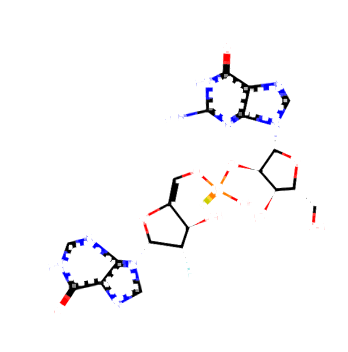 Nc1nc2c(ncn2[C@@H]2O[C@H](CO)[C@@H](O)[C@H]2OP(O)(=S)O/C=C2/O[C@@H](n3cnc4c(=O)[nH]cnc43)[C@@H](F)[C@@H]2O)c(=O)[nH]1